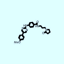 COc1ccc(-c2cnc(Nc3ccc(C(=O)NCCCN4CCCC4=O)cc3)nc2)cc1